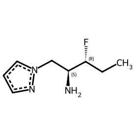 CC[C@@H](F)[C@@H](N)Cn1cccn1